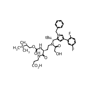 CC(C)(C)[C@H](c1cc(-c2cc(F)ccc2F)cn1Cc1ccccc1)N(CC[C@H](NC(=O)OCCS(C)(C)C)C(=O)NCCC(=O)O)C(=O)CO